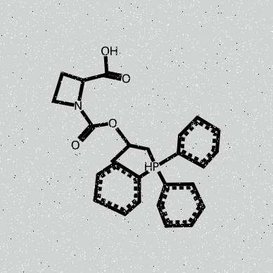 CC(C[PH](c1ccccc1)(c1ccccc1)c1ccccc1)OC(=O)N1CCC1C(=O)O